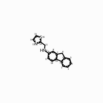 c1ccc2c(c1)Cc1cc(NCc3nccs3)ccc1-2